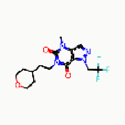 Cn1c(=O)n(CCC2CCOCC2)c(=O)c2c1cnn2CC(F)(F)F